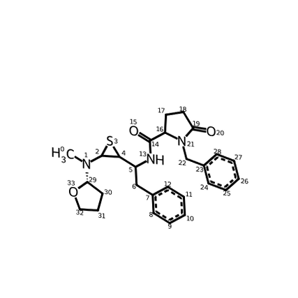 CN(C1SC1C(Cc1ccccc1)NC(=O)C1CCC(=O)N1Cc1ccccc1)[C@@H]1CCCO1